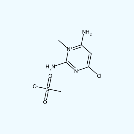 CS(=O)(=O)[O-].C[n+]1c(N)cc(Cl)nc1N